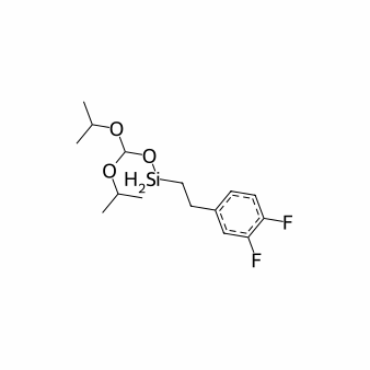 CC(C)OC(O[SiH2]CCc1ccc(F)c(F)c1)OC(C)C